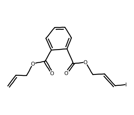 C=CCOC(=O)c1ccccc1C(=O)OCC=CI